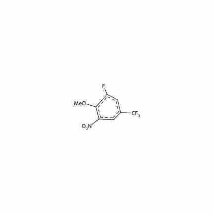 COc1c(F)cc(C(F)(F)F)cc1[N+](=O)[O-]